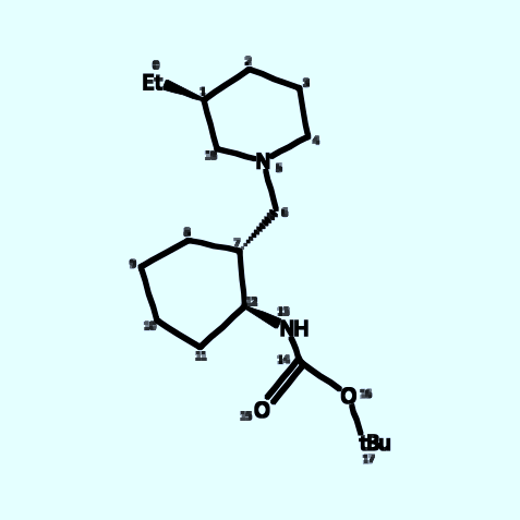 CC[C@H]1CCCN(C[C@H]2CCCC[C@@H]2NC(=O)OC(C)(C)C)C1